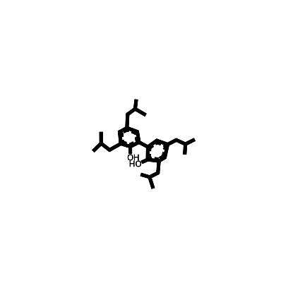 CC(C)Cc1cc(CC(C)C)c(O)c(-c2cc(CC(C)C)cc(CC(C)C)c2O)c1